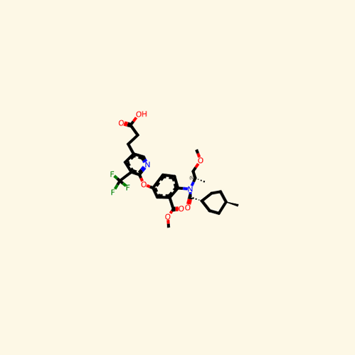 COC[C@H](C)N(c1ccc(Oc2ncc(CCC(=O)O)cc2C(F)(F)F)cc1C(=O)OC)C(=O)[C@H]1CC[C@H](C)CC1